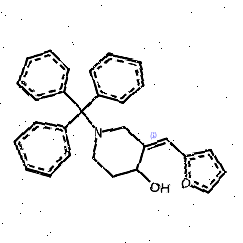 OC1CCN(C(c2ccccc2)(c2ccccc2)c2ccccc2)C/C1=C/c1ccco1